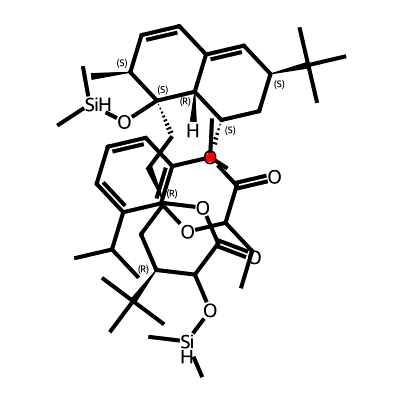 CCC(Oc1c(C(C)C)cccc1C(C)C)C(=O)O[C@H]1C[C@H](C(C)(C)C)C=C2C=C[C@H](C)[C@](CC[C@@H]3C[C@H](C(C)(C)C)C(O[SiH](C)C)C(=O)O3)(O[SiH](C)C)[C@H]21